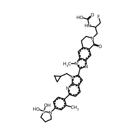 Cc1cc(N2CCCS2(O)O)ccc1-c1ccc2cc(-c3nc4cc5c(cc4n3C)CCN(CC(CF)NC(=O)O)C5=O)n(CC3CC3)c2n1